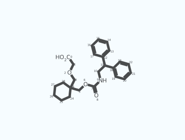 O=C(O)COCC1(COC(=O)NCC(c2ccccc2)c2ccccc2)CCCCC1